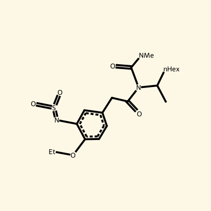 CCCCCCC(C)N(C(=O)Cc1ccc(OCC)c(N=S(=O)=O)c1)C(=O)NC